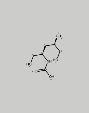 C[C@@H](CO)C[C@H](CO)NC(=O)O